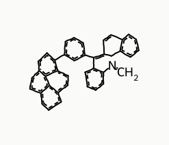 C=Nc1ccccc1/C(=C1/C=Cc2ccccc2C1)c1cccc(-c2ccc3ccc4cccc5ccc2c3c45)c1